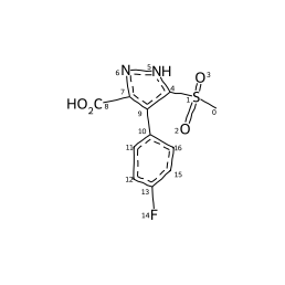 CS(=O)(=O)c1[nH]nc(C(=O)O)c1-c1ccc(F)cc1